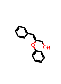 OCC(=Cc1ccccc1)Oc1ccccc1